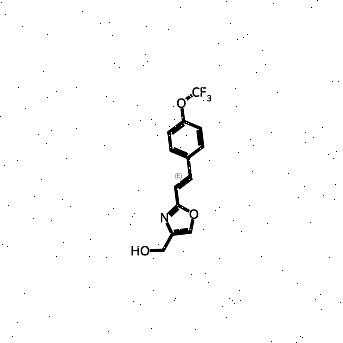 OCc1coc(/C=C/c2ccc(OC(F)(F)F)cc2)n1